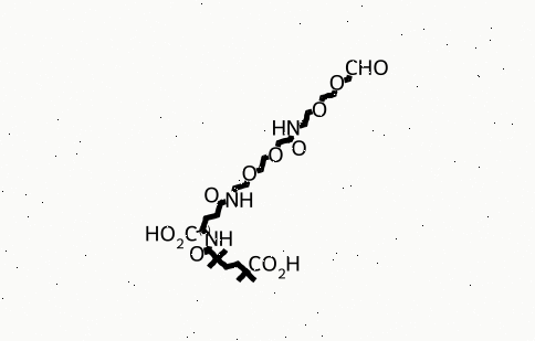 CC(C)(CCC(C)(C)C(=O)N[C@@H](CCC(=O)NCCOCCOCC(=O)NCCOCCOCC=O)C(=O)O)C(=O)O